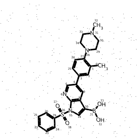 Cc1cc(-c2cnc3c(c2)c(B(O)O)cn3S(=O)(=O)c2ccccc2)ccc1N1CCN(C)CC1